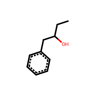 CC[C](O)Cc1ccccc1